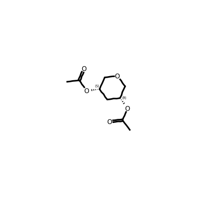 CC(=O)O[C@@H]1COC[C@H](OC(C)=O)C1